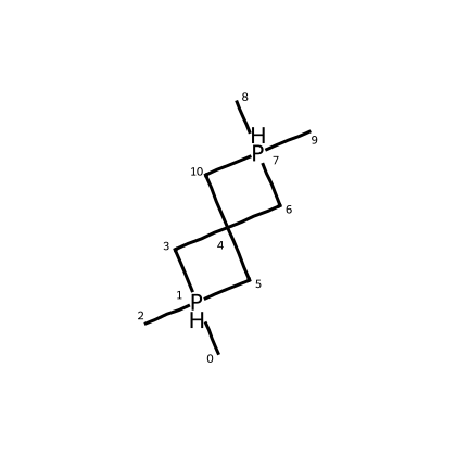 C[PH]1(C)CC2(C1)C[PH](C)(C)C2